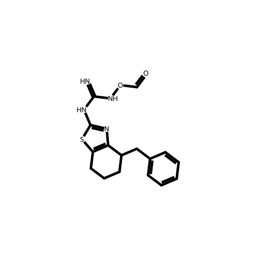 N=C(NOC=O)Nc1nc2c(s1)CCCC2Cc1ccccc1